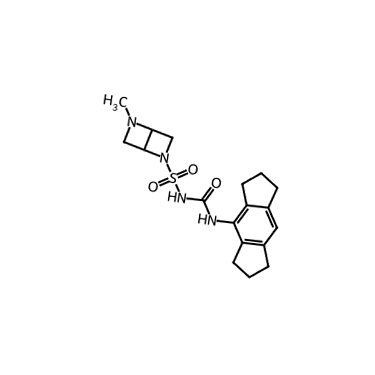 CN1CC2C1CN2S(=O)(=O)NC(=O)Nc1c2c(cc3c1CCC3)CCC2